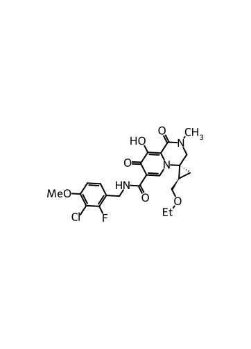 CCOC[C@@H]1C[C@]12CN(C)C(=O)c1c(O)c(=O)c(C(=O)NCc3ccc(OC)c(Cl)c3F)cn12